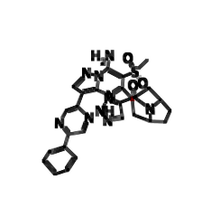 CS(=O)(=O)c1c(C2CC3CCC(C2)N3C(=O)c2cn[nH]n2)nc2c(-c3cnc(-c4ccccc4)cn3)cnn2c1N